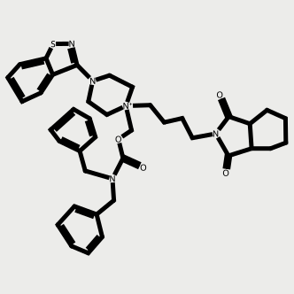 O=C(OC[N+]1(CCCCN2C(=O)C3CCCCC3C2=O)CCN(c2nsc3ccccc23)CC1)N(Cc1ccccc1)Cc1ccccc1